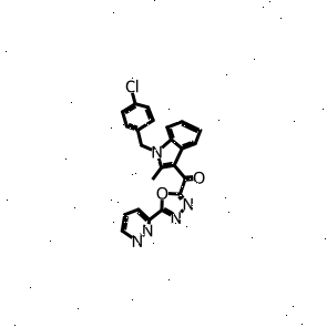 Cc1c(C(=O)c2nnc(-c3cccnn3)o2)c2ccccc2n1Cc1ccc(Cl)cc1